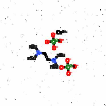 CCCCN(CCCC)CCN(CCCC)CCCC.[Cu+2].[O-][Cl+3]([O-])([O-])[O-].[O-][Cl+3]([O-])([O-])[O-]